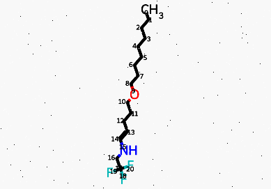 CCCCCCCCCOCCC/C=C/NCC(F)(F)F